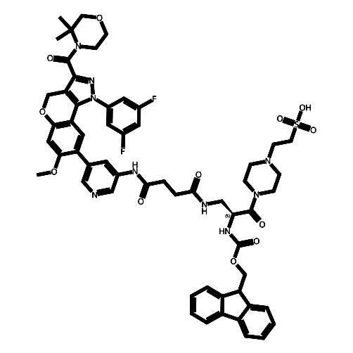 COc1cc2c(cc1-c1cncc(NC(=O)CCC(=O)NC[C@H](NC(=O)OCC3c4ccccc4-c4ccccc43)C(=O)N3CCN(CCS(=O)(=O)O)CC3)c1)-c1c(c(C(=O)N3CCOCC3(C)C)nn1-c1cc(F)cc(F)c1)CO2